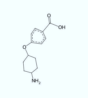 NC1CCC(Oc2ccc(C(=O)O)cc2)CC1